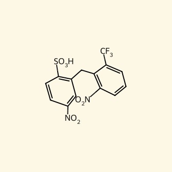 O=[N+]([O-])c1ccc(S(=O)(=O)O)c(Cc2c([N+](=O)[O-])cccc2C(F)(F)F)c1